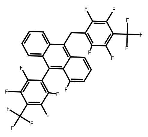 Fc1c(F)c(C(F)(F)F)c(F)c(F)c1Cc1c2ccccc2c(-c2c(F)c(F)c(C(F)(F)F)c(F)c2F)c2c(F)cccc12